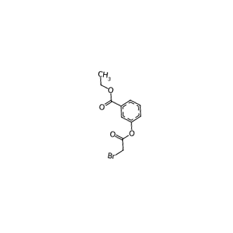 CCOC(=O)c1cccc(OC(=O)CBr)c1